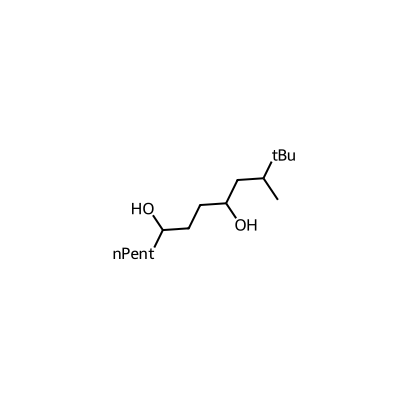 CCCCCC(O)CCC(O)CC(C)C(C)(C)C